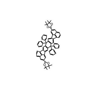 CC1(C)OB(c2cc3c4c(cccc4c2)-c2cc4c(cc2-3)C(c2ccccc2)(c2ccccc2)c2cc3c(cc2C4(c2ccccc2)c2ccccc2)-c2cc(B4OC(C)(C)C(C)(C)O4)cc4cccc-3c24)OC1(C)C